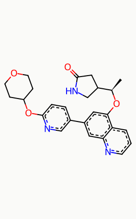 C[C@@H](Oc1cc(-c2ccc(OC3CCOCC3)nc2)cc2ncccc12)C1CNC(=O)C1